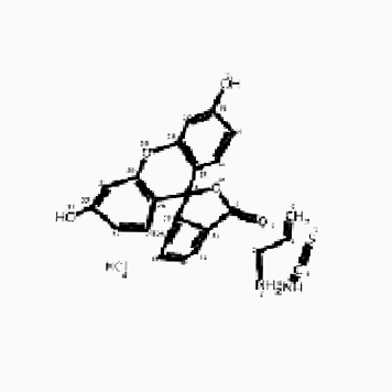 C=CCN.Cl.N=C=S.O=C1OC2(c3ccc(O)cc3Oc3cc(O)ccc32)c2ccccc21